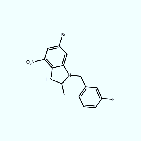 CC1Nc2c(cc(Br)cc2[N+](=O)[O-])N1Cc1cccc(F)c1